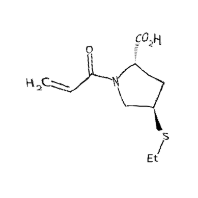 C=CC(=O)N1C[C@H](SCC)C[C@H]1C(=O)O